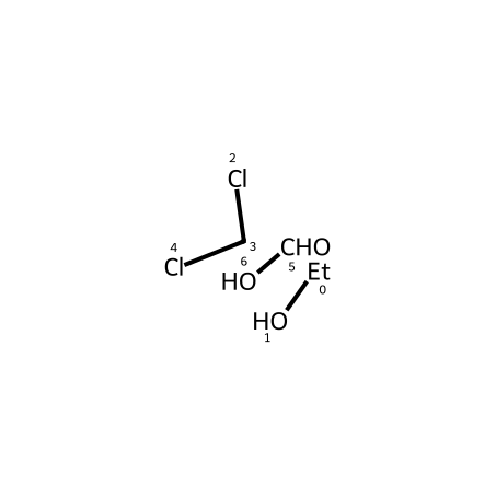 CCO.ClCCl.O=CO